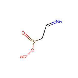 N=CCS(=O)OO